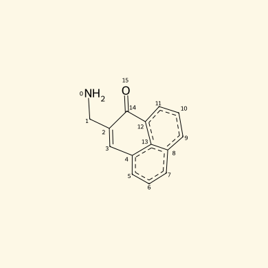 NCC1=Cc2cccc3cccc(c23)C1=O